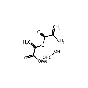 C=C(C)C(=O)OC(=C)C(=O)OC.O=CO